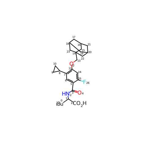 CCC(C)C(NC(=O)c1cc(C2CC2)c(OCC23CC4CC(CC(C4)C2)C3)cc1F)C(=O)O